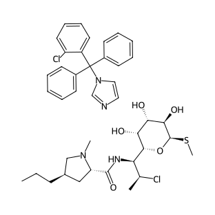 CCC[C@@H]1C[C@@H](C(=O)N[C@@H]([C@H]2O[C@H](SC)[C@H](O)[C@@H](O)[C@H]2O)[C@H](C)Cl)N(C)C1.Clc1ccccc1C(c1ccccc1)(c1ccccc1)n1ccnc1